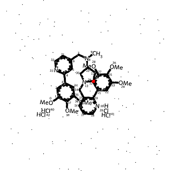 COc1cc(-c2cc(CN(C)[C@H]3CCN(Cc4cccnc4-c4cc(OC)c(OC)c(OC)c4)C3)ccn2)cc(OC)c1OC.Cl.Cl.Cl.Cl